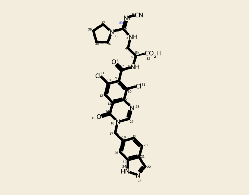 N#C/N=C(\NC[C@H](NC(=O)c1c(Cl)cc2c(=O)n(Cc3ccc4cn[nH]c4c3)cnc2c1Cl)C(=O)O)N1CCCC1